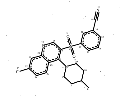 CC1CCN(c2c(S(=O)(=O)c3cccc(C#N)c3)cnc3cc(Cl)ccc23)CC1